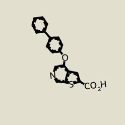 O=C(O)c1cc2c(Oc3ccc(-c4ccccc4)cc3)cncc2s1